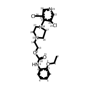 CCOc1ccccc1NC(=O)OCCN1CCN(c2c(Cl)cncc2Cl)CC1